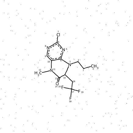 CCCN1c2nc(Cl)ncc2N(C)C(=O)C1CC(F)(F)F